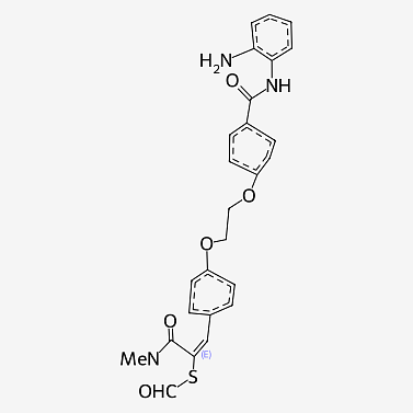 CNC(=O)/C(=C\c1ccc(OCCOc2ccc(C(=O)Nc3ccccc3N)cc2)cc1)SC=O